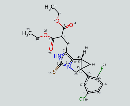 CCOC(=O)C(Cc1[nH]c(=S)n2c1[C@@H]1C[C@]1(c1cc(Cl)ccc1F)C2)C(=O)OCC